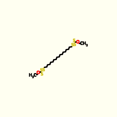 CCOC(=S)SSCCCCCCCCCCCCCCCCCCSSC(=S)OCC